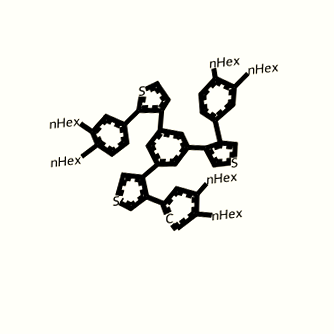 CCCCCCc1ccc(-c2cscc2-c2cc(-c3cscc3-c3ccc(CCCCCC)c(CCCCCC)c3)cc(-c3ccsc3-c3ccc(CCCCCC)c(CCCCCC)c3)c2)cc1CCCCCC